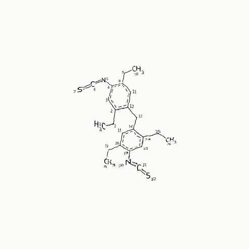 CCc1cc(N=C=S)c(CC)cc1Cc1cc(CC)c(N=C=S)cc1CC